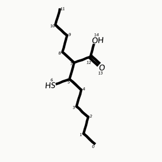 CCCCCC(S)C(CCCC)C(=O)O